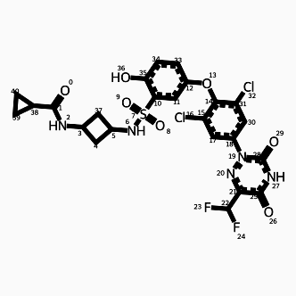 O=C(NC1CC(NS(=O)(=O)c2cc(Oc3c(Cl)cc(-n4nc(C(F)F)c(=O)[nH]c4=O)cc3Cl)ccc2O)C1)C1CC1